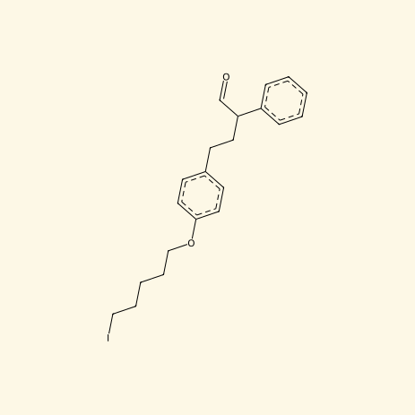 O=CC(CCc1ccc(OCCCCCI)cc1)c1ccccc1